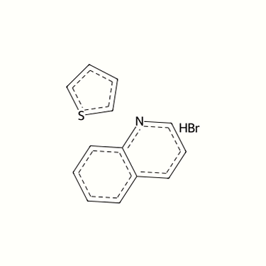 Br.c1ccc2ncccc2c1.c1ccsc1